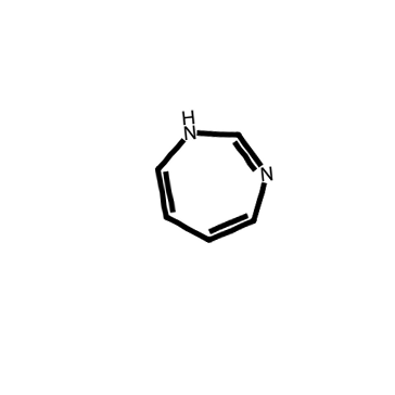 C1=CN=CNC=C1